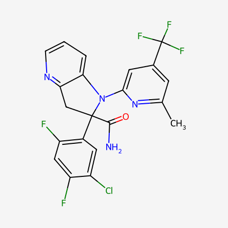 Cc1cc(C(F)(F)F)cc(N2c3cccnc3CC2(C(N)=O)c2cc(Cl)c(F)cc2F)n1